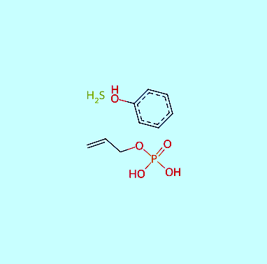 C=CCOP(=O)(O)O.Oc1ccccc1.S